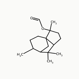 CC1CCC23CC1C(C)(C)C2CCC3(C)OC=O